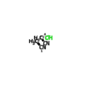 CC#N.CC#N.Cl